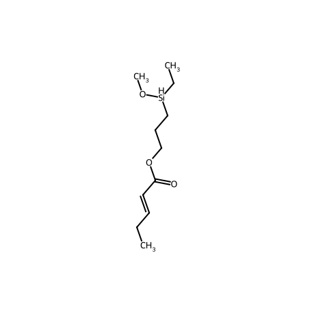 CCC=CC(=O)OCCC[SiH](CC)OC